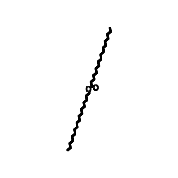 CCCCCCC=CCCCCCCCCCC(=O)OCCCCCCCCCCCCCCCCCC